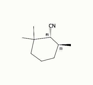 C[C@H]1CCCC(C)(C)[C@@H]1C#N